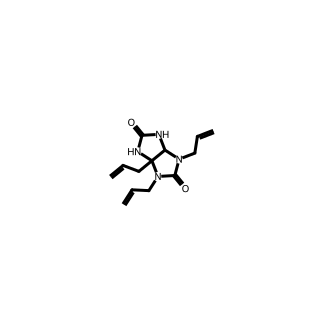 C=CCN1C(=O)N(CC=C)C2(CC=C)NC(=O)NC12